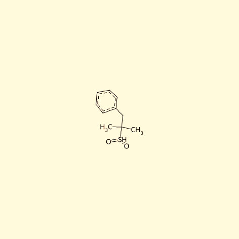 CC(C)(Cc1ccccc1)[SH](=O)=O